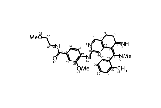 CN/C(=C1\C(=N)CCc2cnc(Nc3ccc(C(=O)NCCOC)cc3OC)nc21)c1ccccc1C